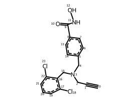 C#CCN(Cc1ccc(C(=O)NO)cc1)Cc1c(Cl)cccc1Cl